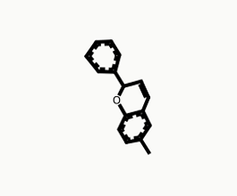 Cc1ccc2c(c1)C=CC(c1ccccc1)O2